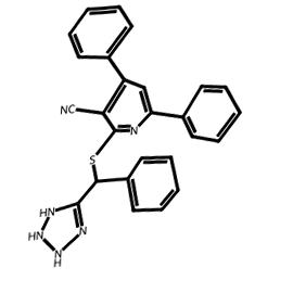 N#Cc1c(-c2ccccc2)cc(-c2ccccc2)nc1SC(C1=NNNN1)c1ccccc1